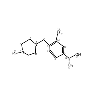 CC(C)N1CCN(Cc2ccc(N(O)O)cc2C(F)(F)F)CC1